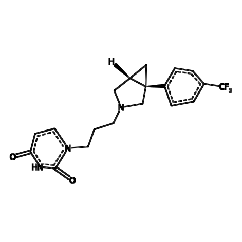 O=c1ccn(CCCN2C[C@@H]3C[C@]3(c3ccc(C(F)(F)F)cc3)C2)c(=O)[nH]1